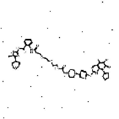 CC(=O)c1c(C)c2cnc(Nc3ccc(N4CCN(CC(=O)NCCOCCOCCC(=O)Nc5ccccc5C(=O)Nc5nc(C6CCOCC6)c(C)s5)CC4)cn3)nc2n(C2CCCC2)c1=O